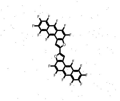 Fc1c(F)c(F)c2c(F)c3c(c(F)c(F)c4oc(-c5cc6c(o5)c(F)c(F)c5c(F)c7c(F)c(F)c(F)c(F)c7c(F)c56)cc43)c(F)c2c1F